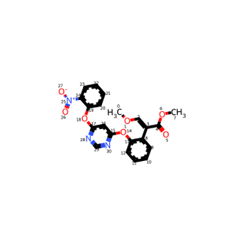 CO/C=C(/C(=O)OC)c1ccccc1Oc1cc(Oc2ccccc2[N+](=O)[O-])ncn1